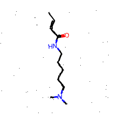 C/C=C/C(=O)NCCCCCN(C)C